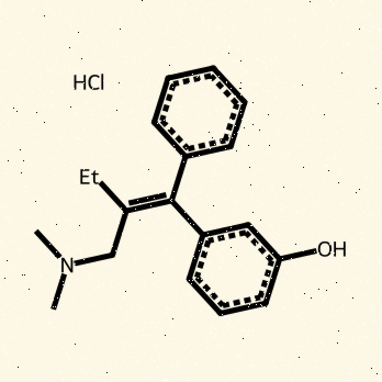 CC/C(CN(C)C)=C(\c1ccccc1)c1cccc(O)c1.Cl